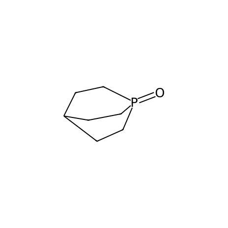 O=P12CCC(CC1)CC2